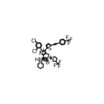 O=C(NN1CCCCC1)c1nn(-c2ccc(Cl)cc2Cl)c(-c2ccc(C#Cc3ccc(C(F)(F)F)cc3)s2)c1CN(N1CCC(C(F)(F)F)C1)[SH](=O)=O